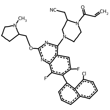 C=CC(=O)N1CCN(c2nc(OCC3CCCN3C)nc3c(F)c(-c4cccc5cccc(Cl)c45)c(F)cc23)CC1CC#N